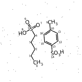 CCCCCS(=O)(=O)O.Cc1ccc(S(=O)(=O)O)cc1